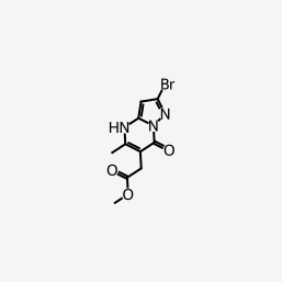 COC(=O)Cc1c(C)[nH]c2cc(Br)nn2c1=O